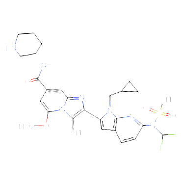 COc1cc(C(=O)N[C@H]2CCCNC2)cc2nc(-c3cc4ccc(N(C(F)F)S(C)(=O)=O)nc4n3CC3CC3)c(C)n12